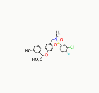 CN(Cc1ccc(OC(C(=O)O)c2cccc(C#N)c2)cc1)S(=O)(=O)c1ccc(F)c(Cl)c1